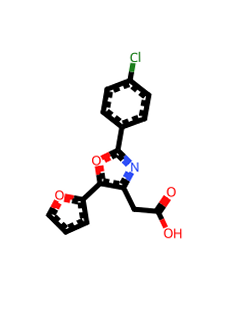 O=C(O)Cc1nc(-c2ccc(Cl)cc2)oc1-c1ccco1